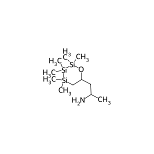 CC(N)CC1C[Si](C)(C)[Si](C)(C)[Si](C)(C)O1